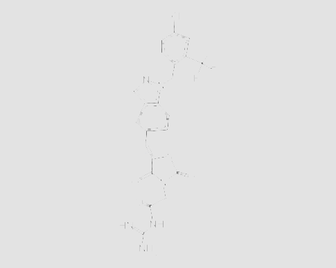 N=C(N)NC(=O)CN1C(=O)S/C(=C\c2ccc3c(cnn3Cc3ccc(Cl)cc3C(F)(F)F)c2)C1=O